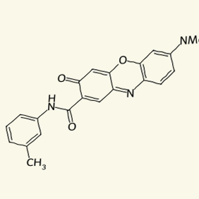 CNc1ccc2nc3cc(C(=O)Nc4cccc(C)c4)c(=O)cc-3oc2c1